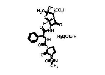 CC1(C)S[C@@H]2[C@H](NC(=O)C(NC(=O)N3CCN(S(C)(=O)=O)C3=O)c3ccccc3)C(=O)N2[C@H]1C(=O)O.O.O.[NaH]